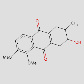 COc1ccc2c(c1OC)C(=O)C1=C(CC(C)C(O)C1)C2=O